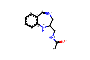 CC(=O)NCC1CN=Cc2ccccc2N1